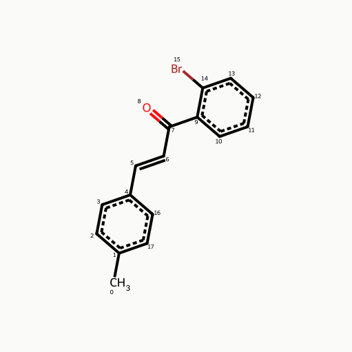 Cc1ccc(C=CC(=O)c2ccccc2Br)cc1